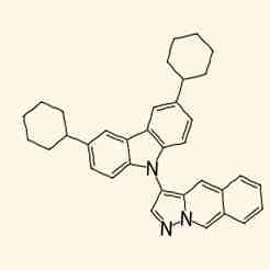 c1ccc2cn3ncc(-n4c5ccc(C6CCCCC6)cc5c5cc(C6CCCCC6)ccc54)c3cc2c1